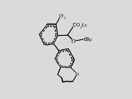 CCOC(=O)C(OC(C)(C)C)c1c(-c2ccc3c(c2)CCCO3)cccc1C(F)(F)F